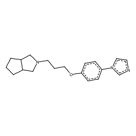 c1cn(-c2ccc(OCCCN3CC4CCCC4C3)cc2)cn1